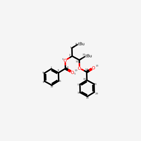 CC(C)(C)CC(OC(=O)c1ccccc1)C(OC(=O)c1ccccc1)C(C)(C)C